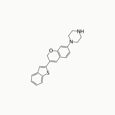 C1=C(c2cc3ccccc3s2)COc2cc(N3CCNCC3)ccc21